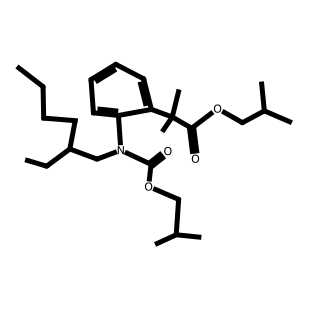 CCCCC(CC)CN(C(=O)OCC(C)C)c1ccccc1C(C)(C)C(=O)OCC(C)C